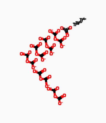 O=C([O-])OC(=O)[O-].O=C([O-])OC(=O)[O-].O=C([O-])OC(=O)[O-].O=C([O-])OC(=O)[O-].O=C([O-])OC(=O)[O-].O=C([O-])OC(=O)[O-].[O]=[W](=[O])=[O].[Ti+4].[Ti+4].[Ti+4]